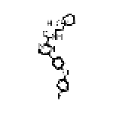 C[N+]1(CCNC(=O)c2nccc(-c3ccc(Oc4ccc(F)cc4)cc3)n2)CCCCC1